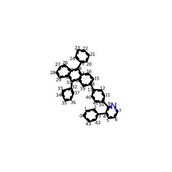 c1ccc(-c2cccnc2-c2ccc(-c3ccc4c(-c5ccccc5)c5ccccc5c(-c5ccccc5)c4c3)cc2)cc1